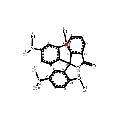 CCOc1cc(N(CC)CC)ccc1C1(c2cc(N(CC)CC)ccc2OCC)OC(=O)c2cccnc21